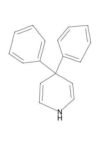 C1=CC(c2ccccc2)(c2ccccc2)C=CN1